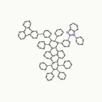 c1ccc(-c2c(-c3ccccc3)c(-c3ccccc3)c3c4cccc5c6c(-c7cccc(-c8nc9ccccc9n8-c8ccccc8)c7)c(-c7ccccc7)c(-c7cccc(-c8ccc9c%10ccccc%10c%10ccccc%10c9c8)c7)c(-c7ccccc7)c6c6cccc(c3c2-c2ccccc2)c6c45)cc1